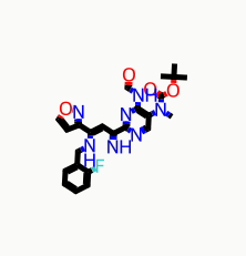 CN(C(=O)OC(C)(C)C)c1cnc(C(=N)/C=C(\NCc2ccccc2F)c2ccon2)nc1NC=O